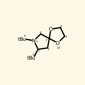 CC(C)(C)C1CC2(CN1C(C)(C)C)OCCO2